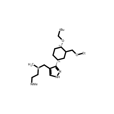 CCOCC1C[C@H](c2n[nH]cc2CN(C)CCNC)CC[C@@H]1OCC(C)(C)C